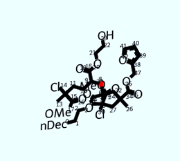 CCCCCCCCCCCCOC(=O)C(C)(CC(CCC(C)(Cl)C(=O)OC)C(=O)OCCO)CC(C)(CC(C)(Cl)C(=O)OC)C(=O)OCc1ccco1